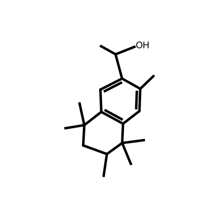 Cc1cc2c(cc1C(C)O)C(C)(C)CC(C)C2(C)C